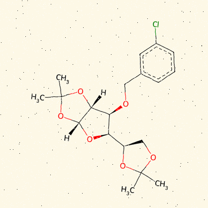 CC1(C)O[C@H]2O[C@H]([C@H]3COC(C)(C)O3)[C@H](OCc3cccc(Cl)c3)[C@H]2O1